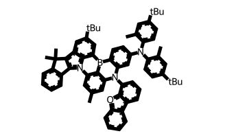 Cc1cc2c3c(c1)-n1c4c(c5cc(C(C)(C)C)cc(c51)B3c1ccc(N(c3ccc(C(C)(C)C)cc3C)c3ccc(C(C)(C)C)cc3C)cc1N2c1cccc2c1oc1ccccc12)C(C)(C)c1ccccc1-4